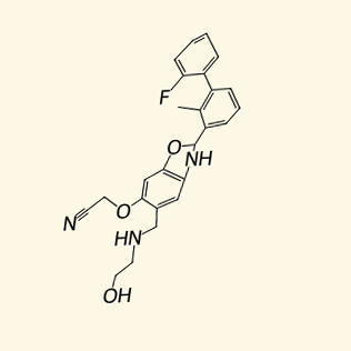 Cc1c(-c2ccccc2F)cccc1C1Nc2cc(CNCCO)c(OCC#N)cc2O1